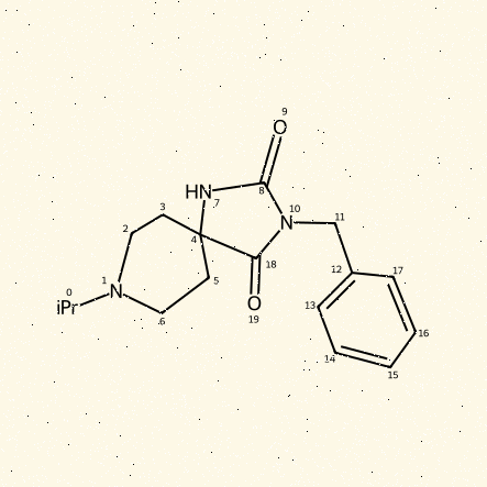 CC(C)N1CCC2(CC1)NC(=O)N(Cc1ccccc1)C2=O